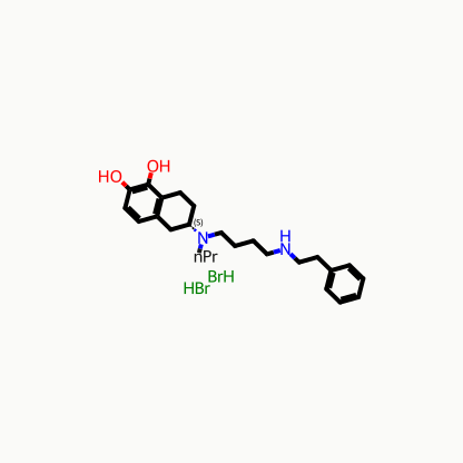 Br.Br.CCCN(CCCCNCCc1ccccc1)[C@H]1CCc2c(ccc(O)c2O)C1